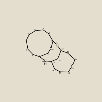 C1CCCC2CCC(CCC1)OC1CCCCCCC(C1)N2